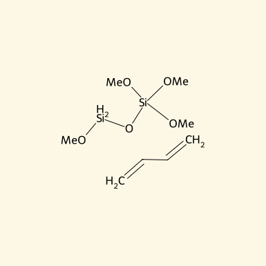 C=CC=C.CO[SiH2]O[Si](OC)(OC)OC